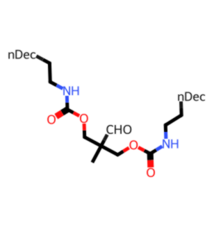 CCCCCCCCCCCCNC(=O)OCC(C)(C=O)COC(=O)NCCCCCCCCCCCC